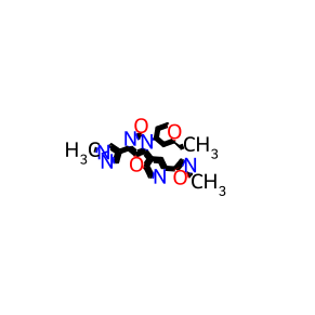 CC[C@H]1C[C@@H](n2c(=O)nc(-c3cnn(C)c3)c3oc4cnc(-c5cnc(C)o5)cc4c32)CCO1